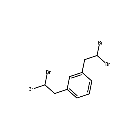 BrC(Br)Cc1cccc(CC(Br)Br)c1